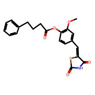 COc1cc(/C=C2\SC(=O)NC2=O)ccc1OC(=O)CCCc1ccccc1